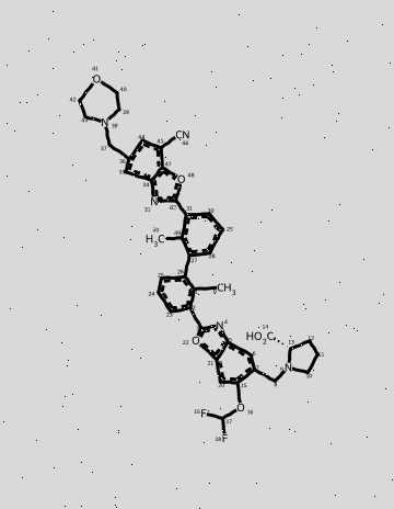 Cc1c(-c2nc3cc(CN4CCC[C@H]4C(=O)O)c(OC(F)F)cc3o2)cccc1-c1cccc(-c2nc3cc(CN4CCOCC4)cc(C#N)c3o2)c1C